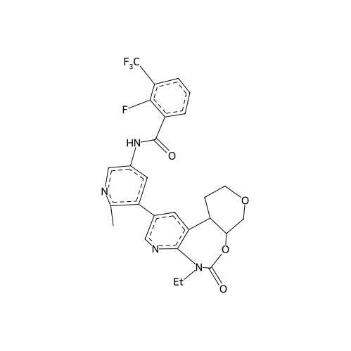 CCN1C(=O)OC2COCCC2c2cc(-c3cc(NC(=O)c4cccc(C(F)(F)F)c4F)cnc3C)cnc21